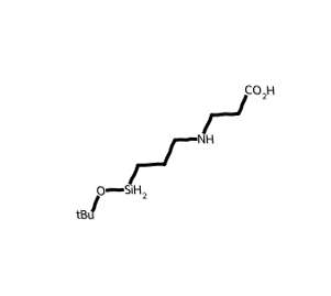 CC(C)(C)O[SiH2]CCCNCCC(=O)O